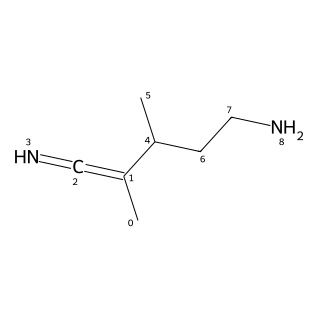 CC(=C=N)C(C)CCN